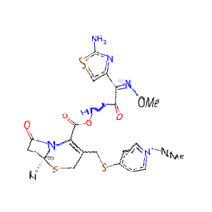 CN[n+]1ccc(SCC2=C(C(=O)ONC(=O)/C(=N\OC)c3csc(N)n3)N3C(=O)C[C@@H]3SC2)cc1